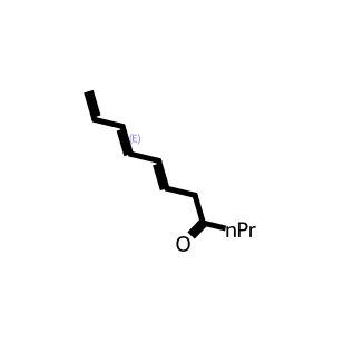 C=C/C=C/C=CCC(=O)CCC